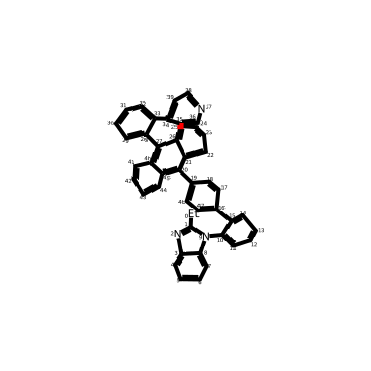 CCc1nc2ccccc2n1-c1ccccc1-c1ccc(-c2c3ccccc3c(-c3ccccc3-c3ccncc3)c3ccccc23)cc1